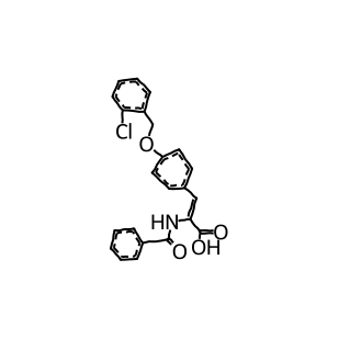 O=C(O)C(=Cc1ccc(OCc2ccccc2Cl)cc1)NC(=O)c1ccccc1